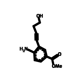 COC(=O)c1ccc(N)c(C#CCCO)c1